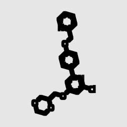 Clc1cc(OCC2COCCO2)cc(-c2ccc(OCc3ccccn3)cc2)n1